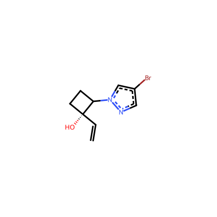 C=C[C@@]1(O)CCC1n1cc(Br)cn1